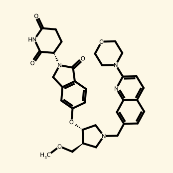 COC[C@@H]1CN(Cc2ccc3ccc(N4CCOCC4)nc3c2)C[C@H]1Oc1ccc2c(c1)CN([C@H]1CCC(=O)NC1=O)C2=O